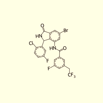 O=C(Nc1cc(Br)cc2c1C(c1cc(F)ccc1Cl)NC2=O)c1cc(F)cc(CC(F)(F)F)c1